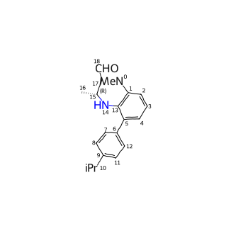 CNc1cccc(-c2ccc(C(C)C)cc2)c1N[C@H](C)CC=O